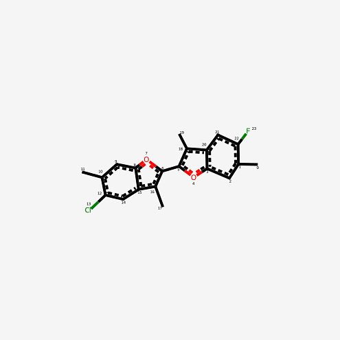 Cc1cc2oc(-c3oc4cc(C)c(Cl)cc4c3C)c(C)c2cc1F